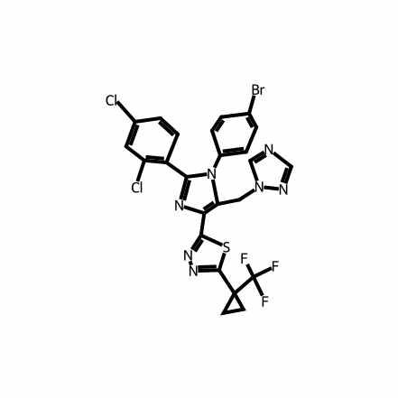 FC(F)(F)C1(c2nnc(-c3nc(-c4ccc(Cl)cc4Cl)n(-c4ccc(Br)cc4)c3Cn3cncn3)s2)CC1